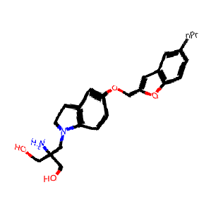 CCCc1ccc2oc(COc3ccc4c(c3)CCN4CC(N)(CO)CO)cc2c1